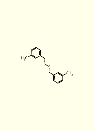 Cc1cccc(CSSCc2cccc(C)c2)c1